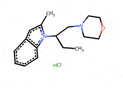 CCC(CN1CCOCC1)n1c(C)cc2ccccc21.Cl